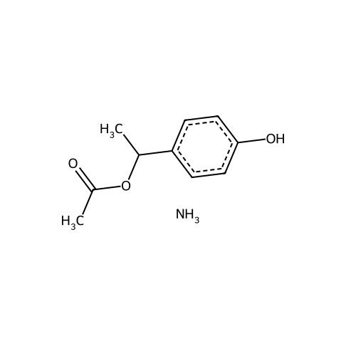 CC(=O)OC(C)c1ccc(O)cc1.N